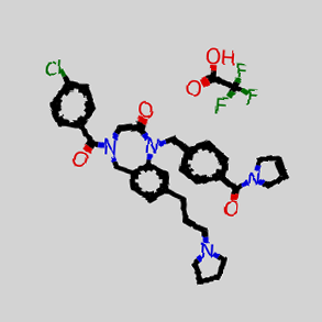 O=C(O)C(F)(F)F.O=C(c1ccc(CN2C(=O)CN(C(=O)c3ccc(Cl)cc3)Cc3ccc(CCCN4CCCC4)cc32)cc1)N1CC=CC1